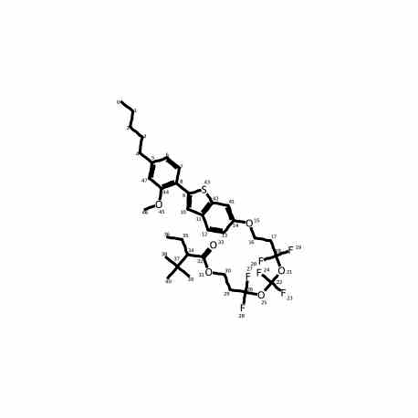 CCCCCc1ccc(-c2cc3ccc(OCCC(F)(F)OC(F)(F)OC(F)(F)CCOC(=O)C(CC)C(C)(C)C)cc3s2)c(OC)c1